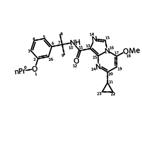 CCCOc1cccc(C(C)(C)NC(=O)c2ncn3c(OC)cc(C4CC4)nc23)c1